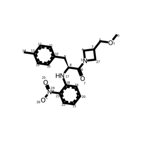 COCC1CN(C(=O)[C@H](Cc2ccc(C)cc2)Nc2ccccc2[N+](=O)[O-])C1